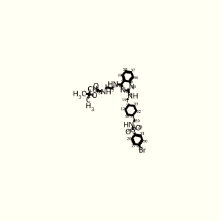 CC(C)(C)OC(=O)NCCNc1nc(NC[C@H]2CC[C@H](CNS(=O)(=O)c3ccc(Br)cc3)CC2)nc2ccccc12